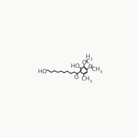 COc1cc(C)c(C(=O)CCCCCCCCCO)c(O)c1OC